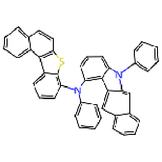 c1ccc(N(c2cccc3c2sc2ccc4ccccc4c23)c2cccc3c2c2cc4ccccc4cc2n3-c2ccccc2)cc1